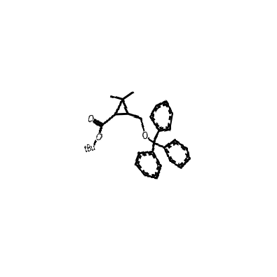 CC(C)(C)OC(=O)C1C(COC(c2ccccc2)(c2ccccc2)c2ccccc2)C1(C)C